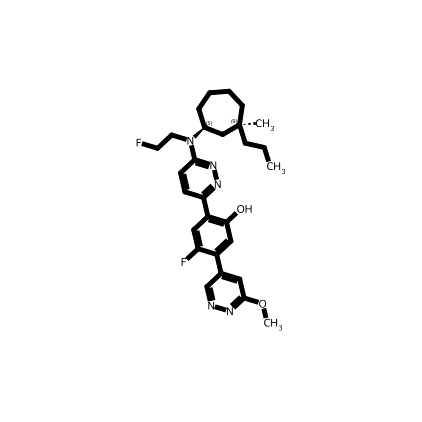 CCC[C@]1(C)CCCC[C@H](N(CCF)c2ccc(-c3cc(F)c(-c4cnnc(OC)c4)cc3O)nn2)C1